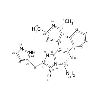 Cc1cc(-c2c(-c3ccccc3)nc(N)n3c(=O)n(Cc4ccn[nH]4)nc23)cc(C)n1